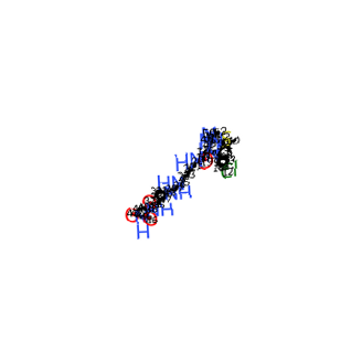 Cc1sc2c(c1C)C(c1ccc(Cl)cc1)=N[C@@H](CC(=O)NCCCCCNCCNc1cccc(CC(=O)NC3CCC(=O)NC3=O)c1)c1nnc(C)n1-2